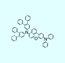 C1=CCCC(c2ccc(N(c3ccc(-c4ccccc4)c(-c4ccccc4)c3)c3ccc4c5c(cccc35)-c3ccc(N(c5ccccc5)c5ccccc5)cc3O4)cc2-c2ccccc2)=C1